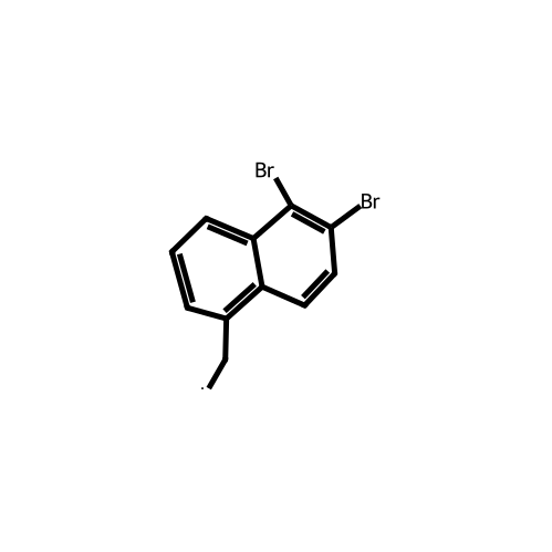 [CH2]Cc1cccc2c(Br)c(Br)ccc12